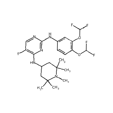 CN1C(C)(C)CC(Nc2nc(Nc3ccc(OC(F)F)c(OC(F)F)c3)ncc2F)CC1(C)C